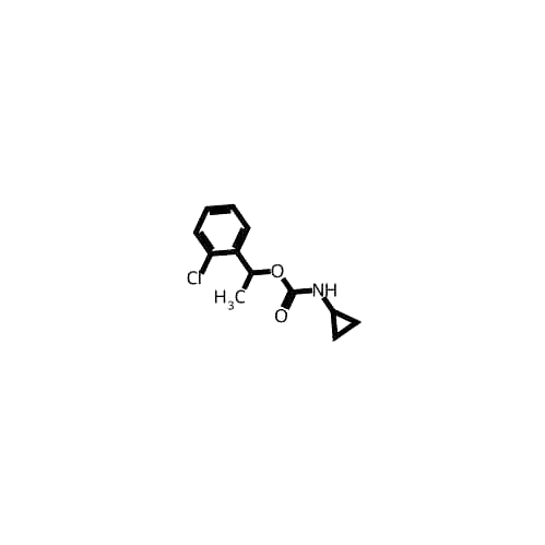 C[C](OC(=O)NC1CC1)c1ccccc1Cl